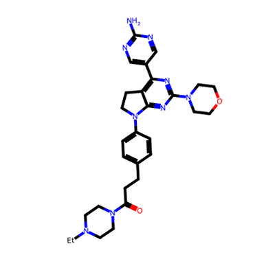 CCN1CCN(C(=O)CCc2ccc(N3CCc4c(-c5cnc(N)nc5)nc(N5CCOCC5)nc43)cc2)CC1